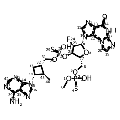 COP(O)(=S)OC[C@H]1O[C@@H](n2cnc3c(=O)[nH]c4nccn4c32)[C@H](F)[C@@H]1OP(O)(=S)OC[C@H]1C[C@@H](n2cnc3c(N)ncnc32)[C@@H]1C